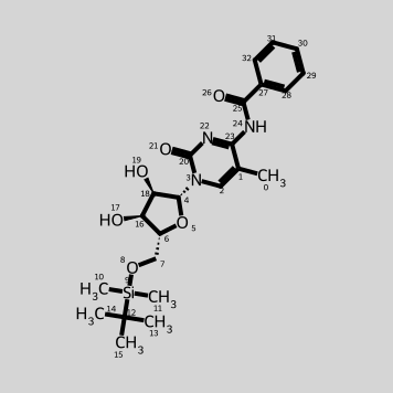 Cc1cn([C@@H]2O[C@H](CO[Si](C)(C)C(C)(C)C)[C@@H](O)[C@H]2O)c(=O)nc1NC(=O)c1ccccc1